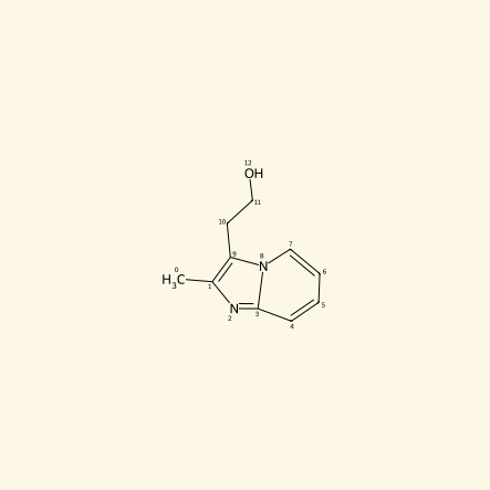 Cc1nc2ccccn2c1CCO